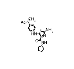 CC(=O)N(C)c1ccc(Nc2nc(N)nn2C(=O)NC2CCCC2)cc1